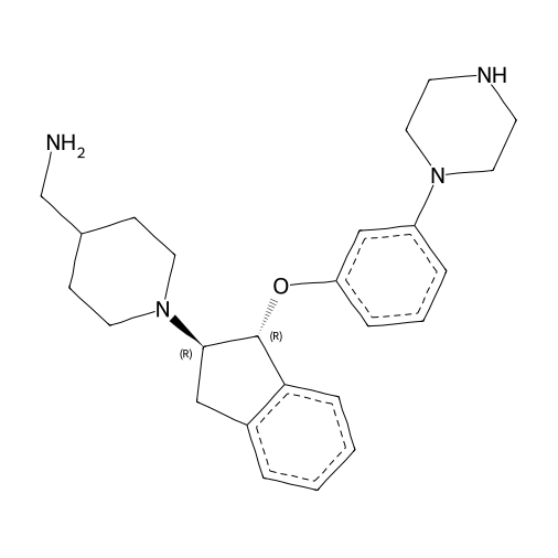 NCC1CCN([C@@H]2Cc3ccccc3[C@H]2Oc2cccc(N3CCNCC3)c2)CC1